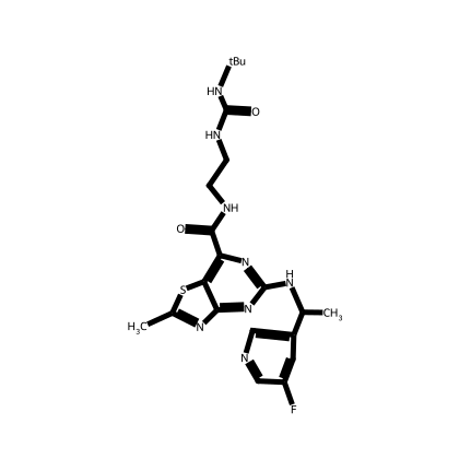 Cc1nc2nc(NC(C)c3cncc(F)c3)nc(C(=O)NCCNC(=O)NC(C)(C)C)c2s1